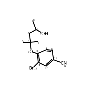 CC(O)CC(C)(C)Oc1ccc(C#N)cc1Br